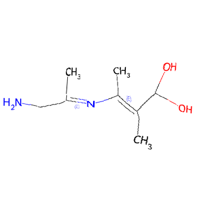 C/C(CN)=N\C(C)=C(/C)C(O)O